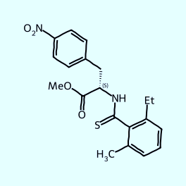 CCc1cccc(C)c1C(=S)N[C@@H](Cc1ccc([N+](=O)[O-])cc1)C(=O)OC